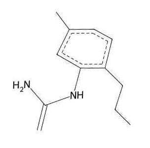 C=C(N)Nc1cc(C)ccc1CCC